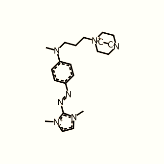 CN(CCC[N+]12CCN(CC1)CC2)c1ccc(/N=N/c2n(C)cc[n+]2C)cc1